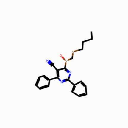 CCCCSC[S+]([O-])c1nc(-c2ccccc2)nc(-c2ccccc2)c1C#N